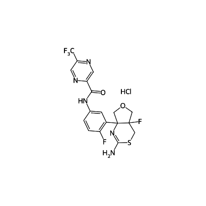 Cl.NC1=NC2(c3cc(NC(=O)c4cnc(C(F)(F)F)cn4)ccc3F)COCC2(F)CS1